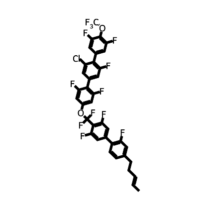 C/C=C/CCc1ccc(-c2cc(F)c(C(F)(F)Oc3cc(F)c(-c4cc(F)c(-c5cc(F)c(OC(F)(F)F)c(F)c5)c(Cl)c4)c(F)c3)c(F)c2)c(F)c1